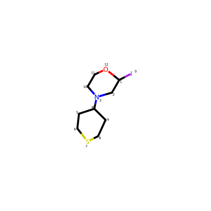 IC1CN(C2CCSCC2)CCO1